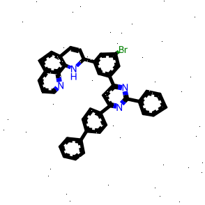 Brc1cc(-c2cc(-c3ccc(-c4ccccc4)cc3)nc(-c3ccccc3)n2)cc(C2C=Cc3ccc4cccnc4c3N2)c1